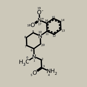 CN(CC(N)=O)C1CCCN(c2ccccc2[N+](=O)[O-])C1